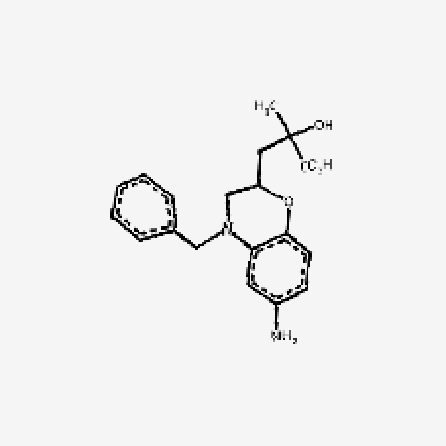 CC(O)(CC1CN(Cc2ccccc2)c2cc(N)ccc2O1)C(=O)O